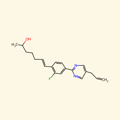 C=CCc1cnc(-c2ccc(C=CCCCC(C)O)c(F)c2)nc1